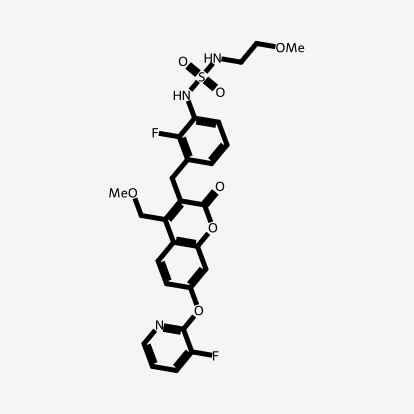 COCCNS(=O)(=O)Nc1cccc(Cc2c(COC)c3ccc(Oc4ncccc4F)cc3oc2=O)c1F